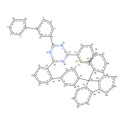 c1ccc(-c2cccc(-c3nc(-c4ccccc4)nc(-c4ccccc4-c4ccc5c(c4)Sc4ccccc4C54c5ccccc5-c5ccccc54)n3)c2)cc1